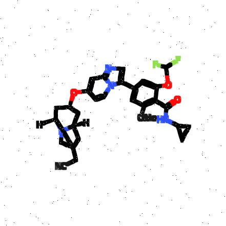 COc1cc(-c2cnc3cc(O[C@H]4C[C@@H]5CC6(CC#N)CN5[C@H]6C4)ccn23)cc(OC(F)F)c1C(=O)NC1CC1